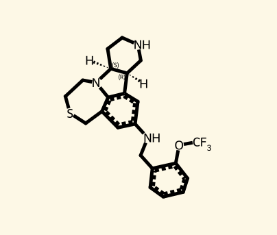 FC(F)(F)Oc1ccccc1CNc1cc2c3c(c1)[C@@H]1CNCC[C@@H]1N3CCSC2